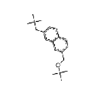 CC(C)(C)Cc1ccc2ccc(COC(C)(C)C)cc2c1